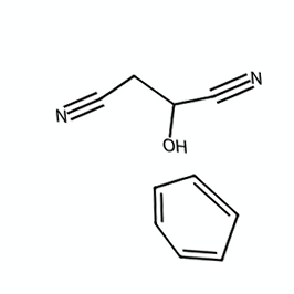 N#CCC(O)C#N.c1ccccc1